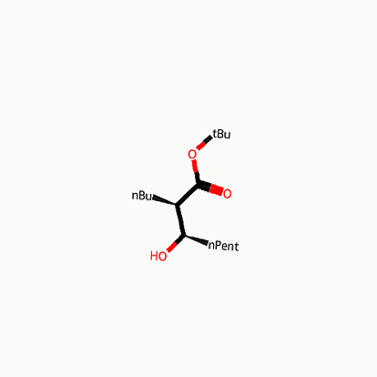 CCCCC[C@@H](O)[C@@H](CCCC)C(=O)OC(C)(C)C